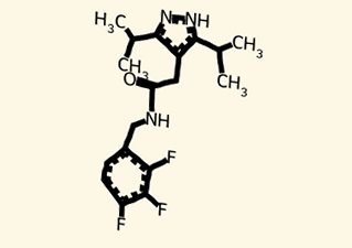 CC(C)c1n[nH]c(C(C)C)c1CC(=O)NCc1ccc(F)c(F)c1F